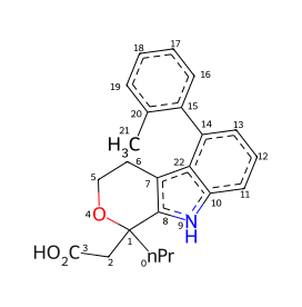 CCCC1(CC(=O)O)OCCc2c1[nH]c1cccc(-c3ccccc3C)c21